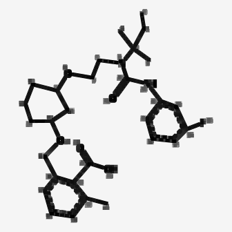 CCC(C)(C)N(CCOC1CCCC(OCc2cccc(C)c2C(=O)O)C1)C(=O)Nc1cccc(F)c1